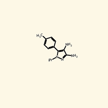 Cc1ccc(-c2c(N)c(N)nn2C(C)C)cc1